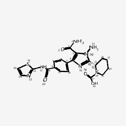 NC(=O)c1c(-c2ccc(C(=O)Nc3nccs3)cc2)nc([C@@H]2CCCCN2C(=O)O)n1N